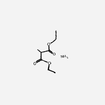 CCOC(=O)C(C)C(=O)OCC.N